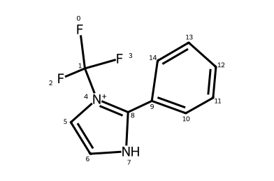 FC(F)(F)[n+]1cc[nH]c1-c1ccccc1